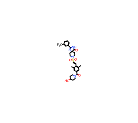 Cc1cc(C(=O)N2CCC(O)CC2)cc(C)c1C=CS(=O)(=O)N1CCC2(CC1)N=C(c1cccc(C(F)(F)F)c1)NC2=O